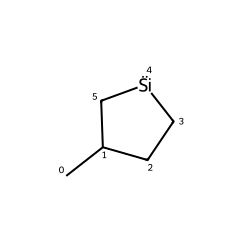 CC1CC[Si]C1